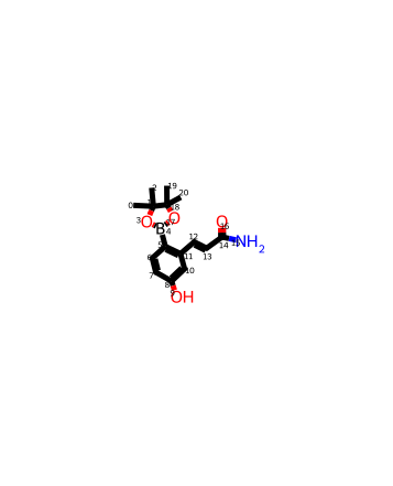 CC1(C)OB(c2ccc(O)cc2C=CC(N)=O)OC1(C)C